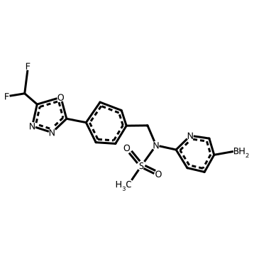 Bc1ccc(N(Cc2ccc(-c3nnc(C(F)F)o3)cc2)S(C)(=O)=O)nc1